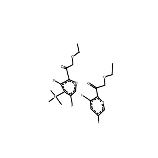 CCOCC(=O)c1ncc(F)c([Si](C)(C)C)c1F.CCOCC(=O)c1ncc(F)cc1F